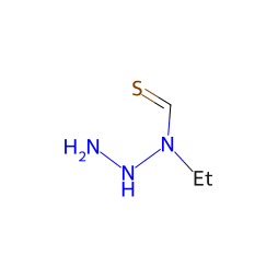 CCN(C=S)NN